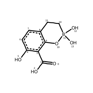 O=C(O)c1c(O)ccc2c1O[B-](O)(O)CC2